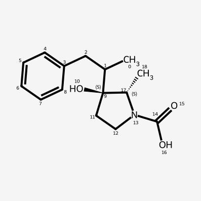 CC(Cc1ccccc1)[C@@]1(O)CCN(C(=O)O)[C@H]1C